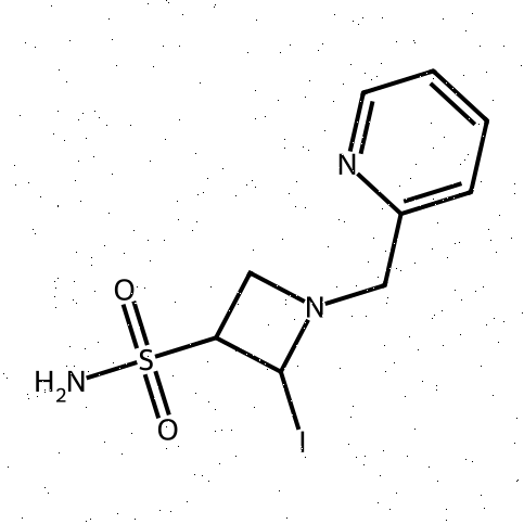 NS(=O)(=O)C1CN(Cc2ccccn2)C1I